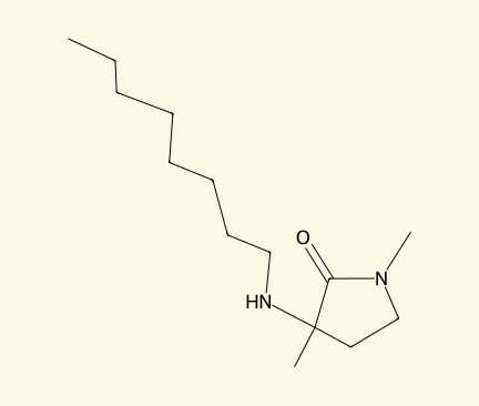 CCCCCCCCNC1(C)CCN(C)C1=O